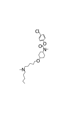 CCCCCN(C)CCCCCOC1CCC(N(C)C(=O)Oc2ccc(Cl)cc2)CC1